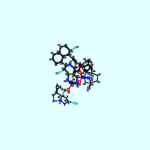 C=C1CCN2C[C@H](F)C[C@]12COc1nc2c3c(nc(-c4cccc5ccc(F)c(C#C[Si](C(C)C)(C(C)C)C(C)C)c45)c(F)c3n1)O[C@@H](C)[C@@H]1[C@@H]3CC[C@H](CN21)N3C(=O)OC(C)(C)C